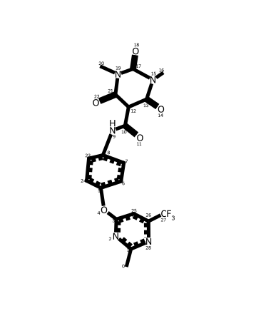 Cc1nc(Oc2ccc(NC(=O)C3C(=O)N(C)C(=O)N(C)C3=O)cc2)cc(C(F)(F)F)n1